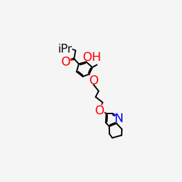 Cc1c(OCCCCOc2cnc3c(c2)CCCC3)ccc(C(=O)CC(C)C)c1O